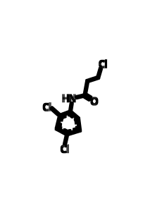 O=C(CCCl)Nc1ccc(Cl)cc1Cl